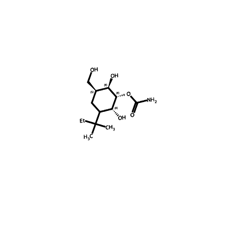 CCC(C)(C)C1C[C@@H](CO)[C@@H](O)[C@H](OC(N)=O)[C@@H]1O